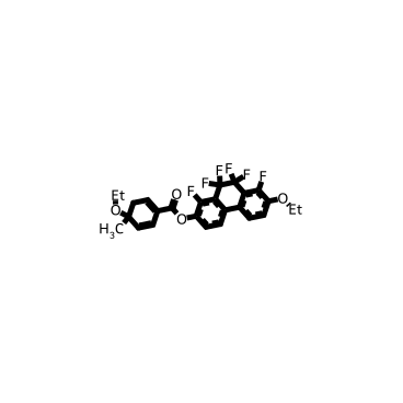 CCOc1ccc2c(c1F)C(F)(F)C(F)(F)c1c-2ccc(OC(=O)C2=CCC(C)(OCC)C=C2)c1F